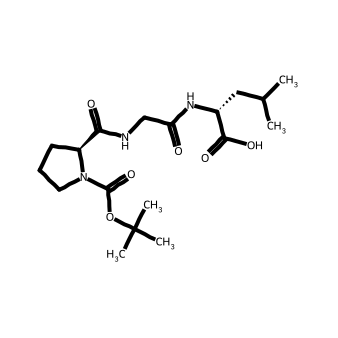 CC(C)C[C@@H](NC(=O)CNC(=O)[C@@H]1CCCN1C(=O)OC(C)(C)C)C(=O)O